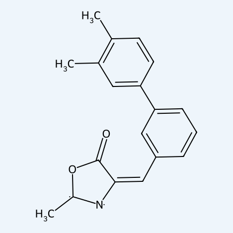 C[C]1[N]C(=Cc2cccc(-c3ccc(C)c(C)c3)c2)C(=O)O1